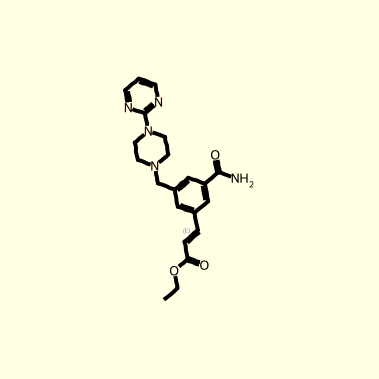 CCOC(=O)/C=C/c1cc(CN2CCN(c3ncccn3)CC2)cc(C(N)=O)c1